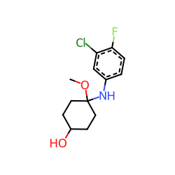 COC1(Nc2ccc(F)c(Cl)c2)CCC(O)CC1